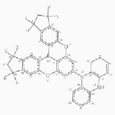 CC1(C)CC(C)(C)c2cc3c(cc21)Oc1cc(N2C4=C(C=CCC4)Nc4ccccc42)cc2c1B3c1cc3c(cc1O2)C(C)(C)CC3(C)C